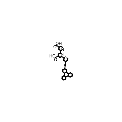 O=C(O)c1ccnc(-c2cc(C(=O)O)cc(-c3cc(C#Cc4ccc5c6ccccc6c6ccccc6c5c4)ccn3)n2)c1